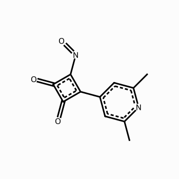 Cc1cc(-c2c(N=O)c(=O)c2=O)cc(C)n1